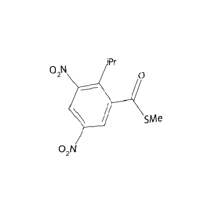 CSC(=O)c1cc([N+](=O)[O-])cc([N+](=O)[O-])c1C(C)C